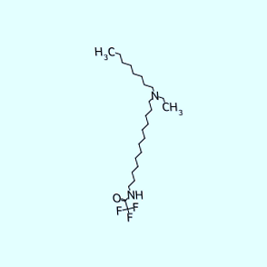 CCCCCCCCN(CC)CCCCCCCCCCCCCNC(=O)C(F)(F)F